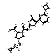 Cc1nc(NC(=O)N2C[C@H](NS(=O)(=O)C3CC3)C[C@H]2C(N)=O)sc1-c1ccnc(N2CCC2)n1